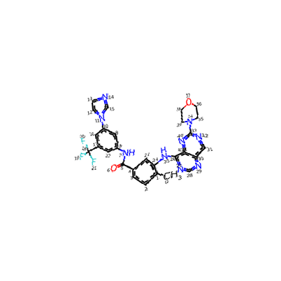 Cc1ccc(C(=O)Nc2cc(-n3ccnc3)cc(C(F)(F)F)c2)cc1Nc1ncnc2cnc(N3CCOCC3)nc12